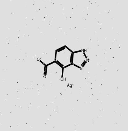 O=C([O-])c1ccc2[nH]nnc2c1O.[Ag+]